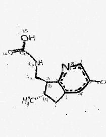 C[C@H]1Cc2cc(Cl)cnc2[C@@H]1CNC(=O)O